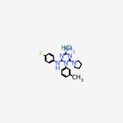 Cc1cccc(N2C(N3CCCC3)=NC(N)=NC2Nc2ccc(F)cc2)c1.Cl